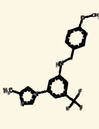 COc1ccc(CNc2cc(-n3cnc(C)c3)cc(C(F)(F)F)c2)cc1